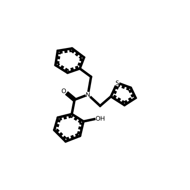 O=C(c1ccccc1O)N(Cc1ccccc1)Cc1cccs1